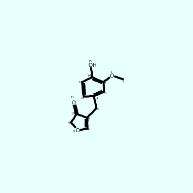 COc1cc(CC2=COCC2=O)ccc1O